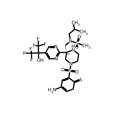 CC(C)CN(C[C@@]1(c2ncc(C(O)(C(F)(F)F)C(F)(F)F)cn2)CN(S(=O)(=O)C2=CC(N)=CCC2=S)CCN1)S(C)(=O)=O